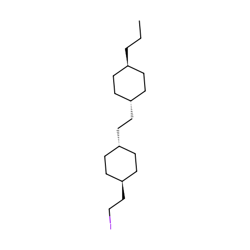 CCC[C@H]1CC[C@H](CC[C@H]2CC[C@H](CCI)CC2)CC1